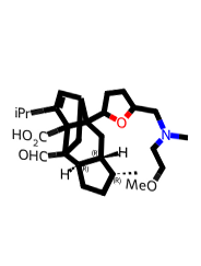 COCCN(C)CC1CCC(C23C[C@@H]4[C@H](C)CC[C@H]4C4(C=O)CC2C=C(C(C)C)C34C(=O)O)O1